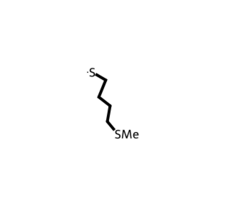 CSCCCC[S]